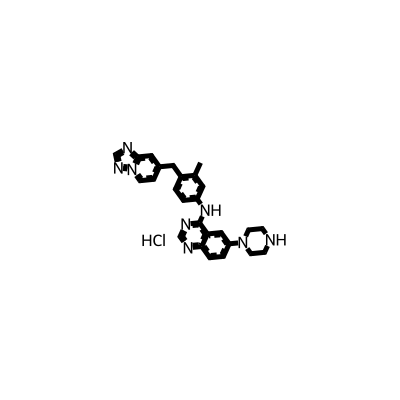 Cc1cc(Nc2ncnc3ccc(N4CCNCC4)cc23)ccc1Cc1ccn2ncnc2c1.Cl